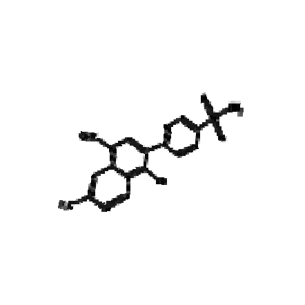 Cc1cc2c(C=O)cc(-c3ccc(S(C)(=O)=O)cc3)c(O)c2cn1